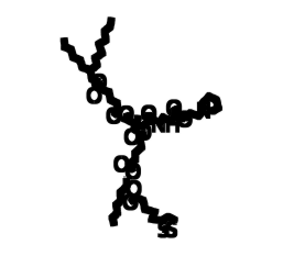 CCCCCCCCC(CCCCCC)COC(=O)CCCC(=O)OCC(C)(C)[C@@H](OC(=O)CCCC(=O)OCC(CCCCCC)OC(=O)CCCCC1CCSS1)C(=O)NCCC(=O)OCCN1CCCCC1